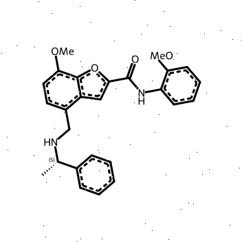 COc1ccccc1NC(=O)c1cc2c(CN[C@@H](C)c3ccccc3)ccc(OC)c2o1